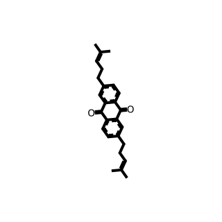 CC(C)=CCCc1ccc2c(c1)C(=O)c1ccc(CCC=C(C)C)cc1C2=O